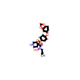 C#CCN(O)C(=O)C1(S(=O)(=O)c2ccc(Oc3ccc4c(c3)OCO4)cc2)CCNCC1